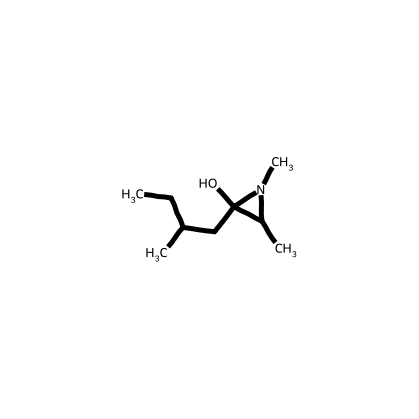 CCC(C)CC1(O)C(C)N1C